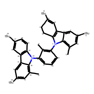 Cc1c(-n2c3c(c4cc(C(C)(C)C)cc(C)c42)C=C(C(C)(C)C)CC3)cccc1-n1c2ccc(C(C)(C)C)cc2c2cc(C(C)(C)C)cc(C)c21